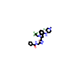 CN1CC[C@H](Nc2cccc3c2cc(-c2nnc(CNC(=O)C4CCCC4)s2)n3CC(F)(F)F)[C@H](F)C1